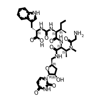 CC[C@@H](C)[C@H](NC(=O)N[C@@H](Cc1c[nH]c2ccccc12)C(=O)O)C(=O)N[C@H](C(=O)NC[C@H]1C[C@@H](O)[C@H](n2ccc(=O)[nH]c2=O)O1)[C@H](C)N(C)C(=O)CN